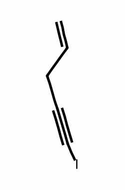 C=CCC#CI